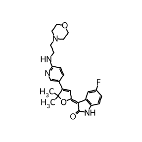 CC1(C)OC(=C2C(=O)Nc3ccc(F)cc32)C=C1c1ccc(NCCN2CCOCC2)nc1